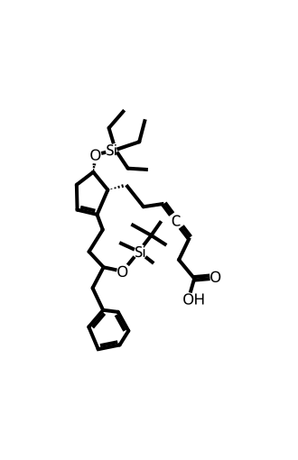 CC[Si](CC)(CC)O[C@H]1CC=C(CCC(Cc2ccccc2)O[Si](C)(C)C(C)(C)C)[C@H]1CCC=C=CCC(=O)O